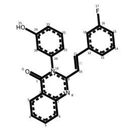 O=c1c2ccccc2nc(/C=C/c2cccc(F)c2)n1-c1cccc(O)c1